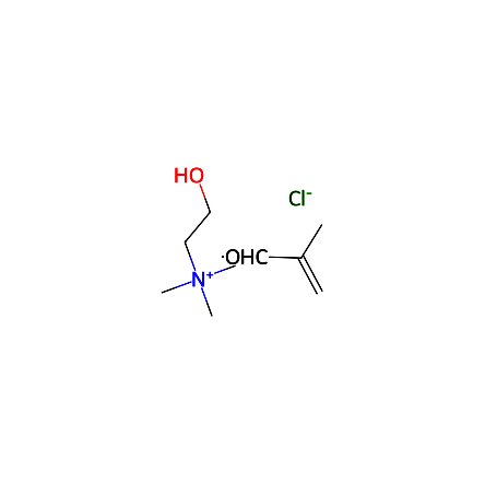 C=C(C)[C]=O.C[N+](C)(C)CCO.[Cl-]